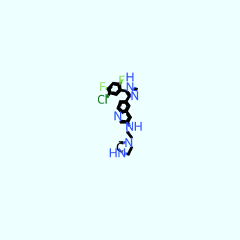 Fc1cc(F)c(-c2[nH]cnc2-c2ccc3ncc(NCCN4CCNCC4)cc3c2)cc1Cl